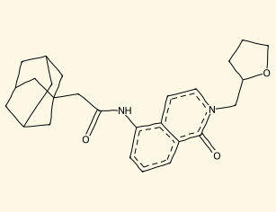 O=C(CC12CC3CC(CC(C3)C1)C2)Nc1cccc2c(=O)n(CC3CCCO3)ccc12